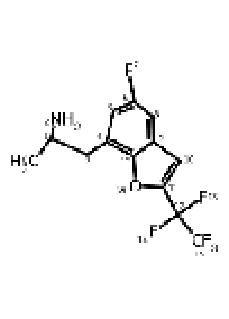 CC(N)Cc1cc(F)cc2cc(C(F)(F)C(F)(F)F)oc12